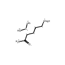 CCCCCCCCCCCC(N)=O.CCCSO